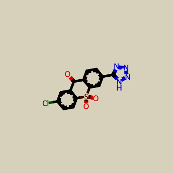 O=C1c2cc(Cl)ccc2S(=O)(=O)c2cc(-c3nnn[nH]3)ccc21